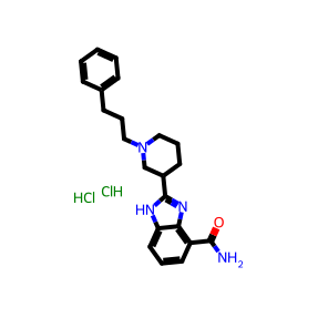 Cl.Cl.NC(=O)c1cccc2[nH]c(C3CCCN(CCCc4ccccc4)C3)nc12